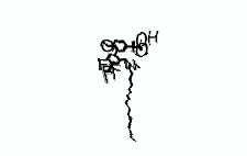 CCCCCCCCCCCCCCCCN(CC)Cc1cc(C(F)(F)F)ccc1-c1cc(C(C)(C)C(=O)O)ccc1OC